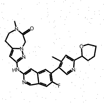 Cc1cc(C2CCCCO2)ncc1-c1cc2cc(Nc3cc4n(n3)CC(=O)N(C)CC4)ncc2cc1F